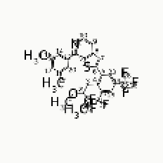 COC(Cc1c(-c2cc3ccnc(-c4cc(C)cc(C)c4)c3s2)cc(C(F)(F)F)cc1C(F)(F)F)OC